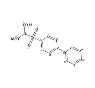 CON(C(=O)O)S(=O)(=O)c1ccc(-c2ccccc2)cc1